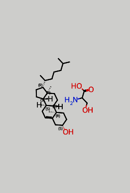 CC(C)CCCC(C)[C@H]1CC[C@H]2[C@@H]3CC=C4C[C@@H](O)CC[C@]4(C)[C@H]3CC[C@]12C.NC(CO)C(=O)O